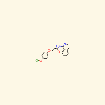 C/N=C(/NC(=O)CCOc1ccc(OCl)cc1)c1ccccc1C